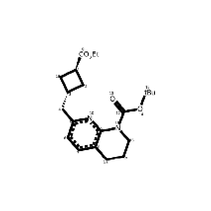 CCOC(=O)[C@H]1C[C@H](Cc2ccc3c(n2)N(C(=O)OC(C)(C)C)CCC3)C1